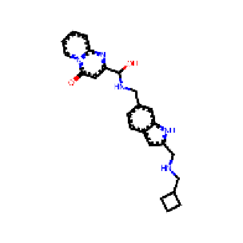 O=c1cc(C(O)NCc2ccc3cc(CNCC4CCC4)[nH]c3c2)nc2ccccn12